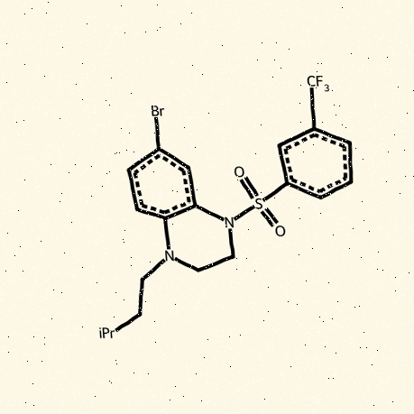 CC(C)CCN1CCN(S(=O)(=O)c2cccc(C(F)(F)F)c2)c2cc(Br)ccc21